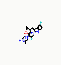 COc1c(N2CCNC(C)C2)c(F)c[n+]2c1C(C1CC1)C=C1C2=Nc2ccc(F)cc21